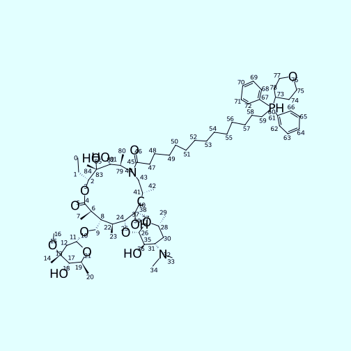 CC[C@H]1OC(=O)[C@H](C)[C@@H](CO[C@H]2C[C@@](C)(OC)[C@@H](O)[C@H](C)O2)[C@H](C)[C@@H](O[C@@H]2O[C@H](C)C[C@H](N(C)C)[C@H]2O)[C@](C)(O)C[C@@H](C)CN(C(=O)CCCCCCCCCCCCC[PH](c2ccccc2)(c2ccccc2)C2CCOCC2)[C@H](C)[C@@H](O)[C@@]1(C)O